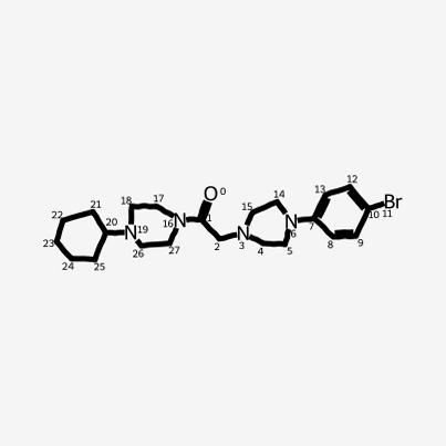 O=C(CN1CCN(c2ccc(Br)cc2)CC1)N1CCN(C2CCCCC2)CC1